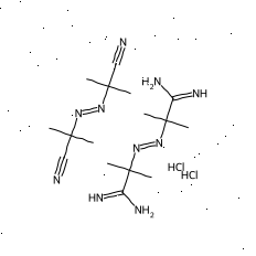 CC(C)(C#N)N=NC(C)(C)C#N.CC(C)(N=NC(C)(C)C(=N)N)C(=N)N.Cl.Cl